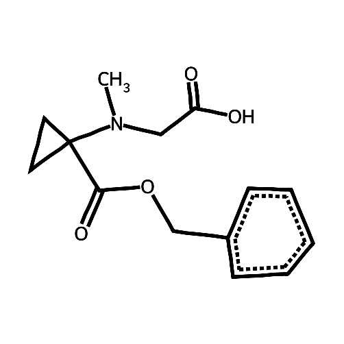 CN(CC(=O)O)C1(C(=O)OCc2ccccc2)CC1